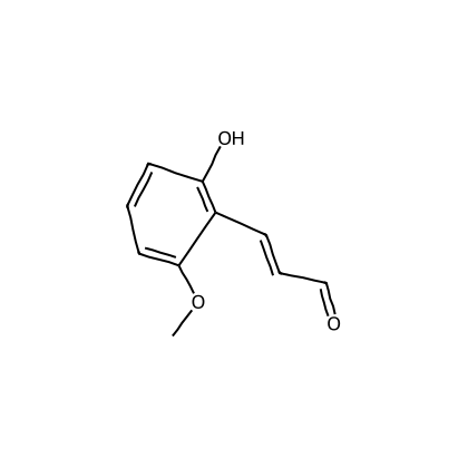 COc1cccc(O)c1/C=C/C=O